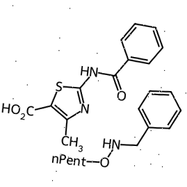 CCCCCONCc1ccccc1.Cc1nc(NC(=O)c2ccccc2)sc1C(=O)O